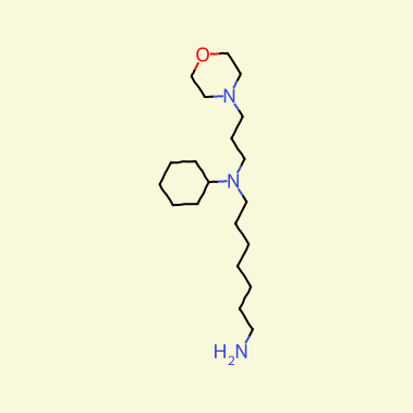 NCCCCCCCN(CCCN1CCOCC1)C1CCCCC1